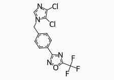 FC(F)(F)c1nc(-c2ccc(Cn3cnc(Cl)c3Cl)cc2)no1